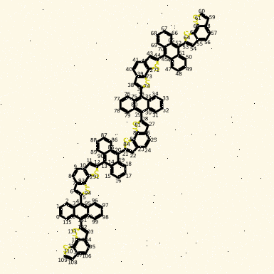 c1ccc2c(-c3cc4ccc5cc(-c6c7ccccc7c(-c7cc8ccc9cc(-c%10c%11ccccc%11c(-c%11cc%12ccc%13cc(-c%14c%15ccccc%15c(-c%15cc%16ccc%17ccsc%17c%16s%15)c%15ccccc%14%15)sc%13c%12s%11)c%11ccccc%10%11)sc9c8s7)c7ccccc67)sc5c4s3)c3ccccc3c(-c3cc4ccc5ccsc5c4s3)c2c1